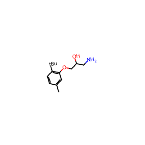 Cc1ccc(C(C)(C)C)c(OCC(O)CN)c1